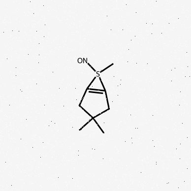 CC1(C)CC2=C(C1)S2(C)N=O